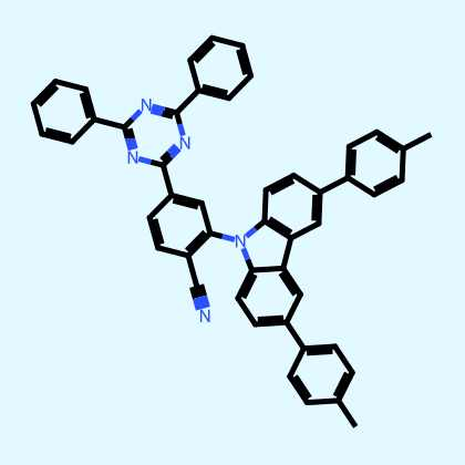 Cc1ccc(-c2ccc3c(c2)c2cc(-c4ccc(C)cc4)ccc2n3-c2cc(-c3nc(-c4ccccc4)nc(-c4ccccc4)n3)ccc2C#N)cc1